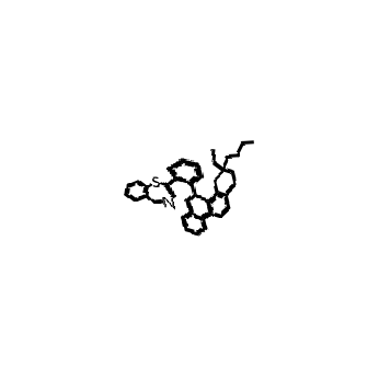 CCCCC1(CC)CC=c2ccc3c(c2C1)C(c1ccccc1C1=CN=Cc2ccccc2S1)C=c1ccccc1=3